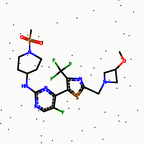 COC1CN(Cc2nc(C(F)(F)F)c(-c3nc(NC4CCN(S(C)(=O)=O)CC4)ncc3F)s2)C1